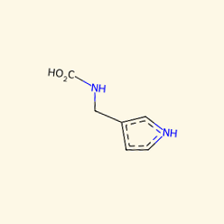 O=C(O)NCc1cc[nH]c1